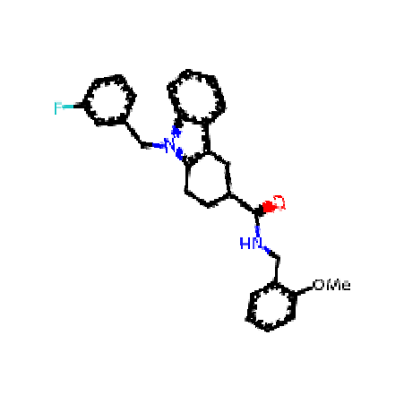 COc1ccccc1CNC(=O)C1CCc2c(c3ccccc3n2Cc2cccc(F)c2)C1